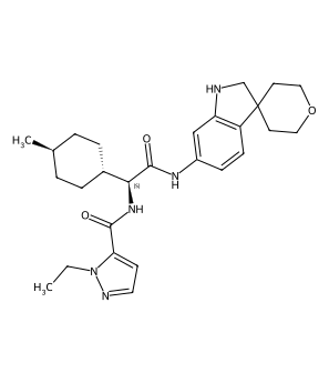 CCn1nccc1C(=O)N[C@H](C(=O)Nc1ccc2c(c1)NCC21CCOCC1)[C@H]1CC[C@H](C)CC1